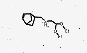 CCOC(C[SiH2]CC1CC2C=CC1C2)OCC